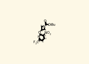 CC(C)COC(=O)N1CC(Oc2nc(C(F)(F)F)ccc2[N+](=O)[O-])C1